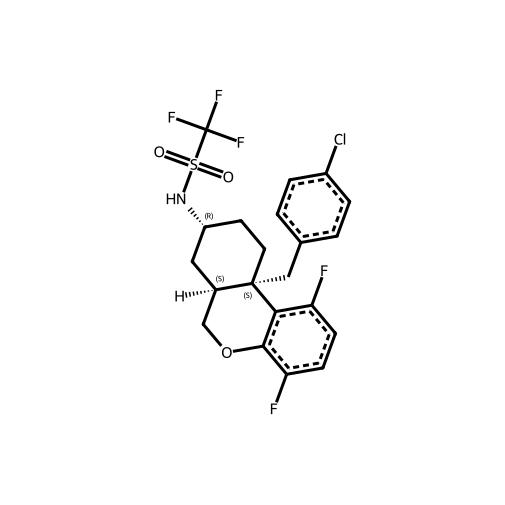 O=S(=O)(N[C@@H]1CC[C@@]2(Cc3ccc(Cl)cc3)c3c(F)ccc(F)c3OC[C@H]2C1)C(F)(F)F